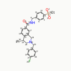 CCS(=O)(=O)c1ccc(CNC(=O)c2ccc3c(c2)CN(Cc2ccc(F)cc2)CC3C(C)C)cc1